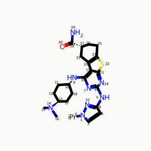 CC(C)n1ccc(Nc2nc(N[C@H]3CC[C@H](N(C)C)CC3)c3c4c(sc3n2)CC[C@@H](C(N)=O)C4)n1